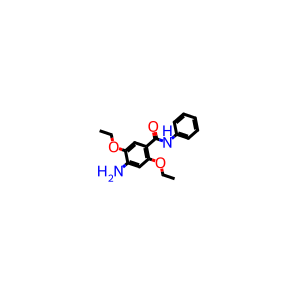 CCOc1cc(C(=O)Nc2ccccc2)c(OCC)cc1N